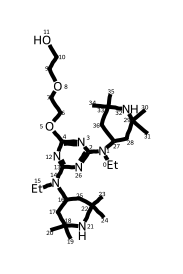 CCN(c1nc(OCCOCCO)nc(N(CC)C2CC(C)(C)NC(C)(C)C2)n1)C1CC(C)(C)NC(C)(C)C1